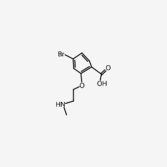 CNCCOc1cc(Br)ccc1C(=O)O